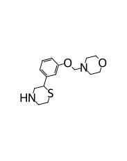 c1cc(OCN2CCOCC2)cc(C2CNCCS2)c1